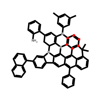 Cc1cc(C)cc(N2C3=C4B5c6cc(ccc62)C(C)(C)c2cccc6c(-c7ccccc7)c7cc8c9ccc(-c%10cccc%11ccccc%10%11)cc9n(c8c5c7c(-c5ccccc5)c26)C4CC(c2ccccc2N)=C3)c1